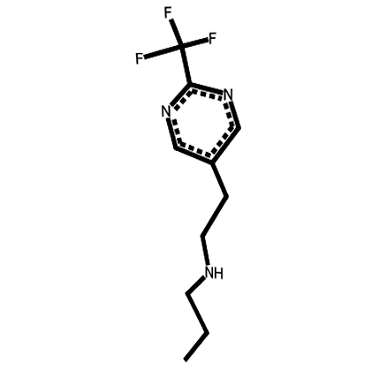 CCCNCCc1cnc(C(F)(F)F)nc1